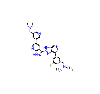 CN(C)Cc1cc(F)cc(-c2cncc3[nH]c(-c4n[nH]c5ncc(-c6cncc(CN7CCCC7)c6)cc45)nc23)c1